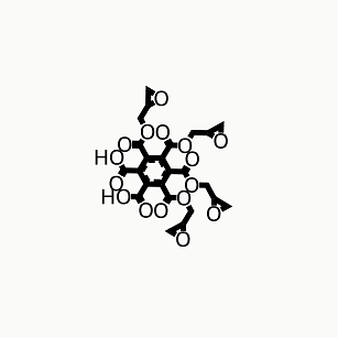 O=C(O)c1c(C(=O)O)c(C(=O)OCC2CO2)c(C(=O)OCC2CO2)c(C(=O)OCC2CO2)c1C(=O)OCC1CO1